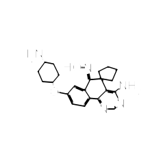 Nc1ncnc2c1C1(CCCC1)C(=NO)c1cc(O[C@H]3CC[C@@H](N)CC3)ccc1-2